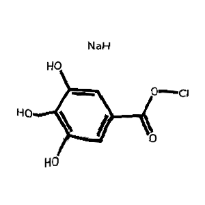 O=C(OCl)c1cc(O)c(O)c(O)c1.[NaH]